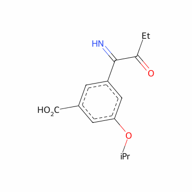 CCC(=O)C(=N)c1cc(OC(C)C)cc(C(=O)O)c1